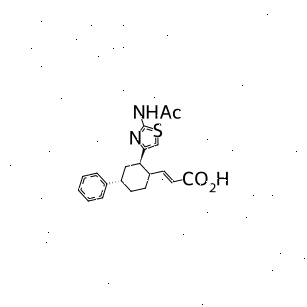 CC(=O)Nc1nc([C@@H]2C[C@@H](c3ccccc3)CCC2/C=C/C(=O)O)cs1